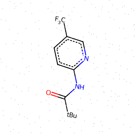 CC(C)(C)C(=O)Nc1ccc(C(F)(F)F)cn1